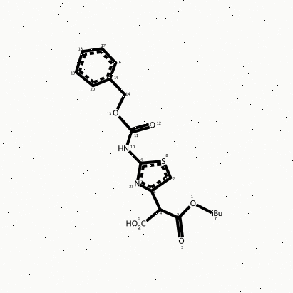 CCC(C)OC(=O)C(C(=O)O)c1csc(NC(=O)OCc2ccccc2)n1